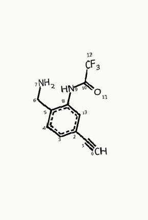 C#Cc1ccc(CN)c(NC(=O)C(F)(F)F)c1